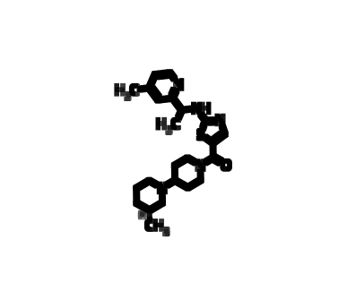 Cc1ccnc(C(C)Nc2ncc(C(=O)N3CCC(N4CCC[C@@H](C)C4)CC3)s2)c1